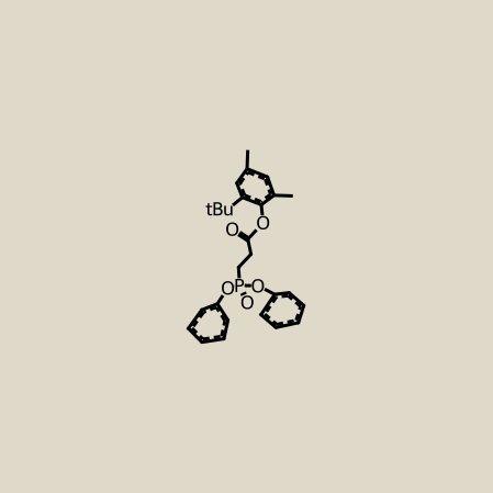 Cc1cc(C)c(OC(=O)CCP(=O)(Oc2ccccc2)Oc2ccccc2)c(C(C)(C)C)c1